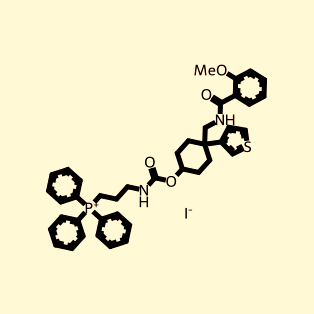 COc1ccccc1C(=O)NCC1(c2ccsc2)CCC(OC(=O)NCCC[P+](c2ccccc2)(c2ccccc2)c2ccccc2)CC1.[I-]